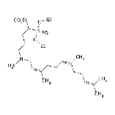 CCOC(=O)C(CCCN(C)CC=C(C)CCC=C(C)CCC=C(C)C)P(=O)(OCC)OCC